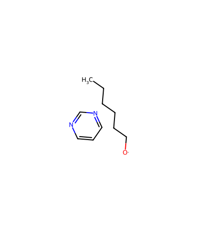 CCCCCC[O].c1cncnc1